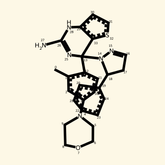 Cc1cc(N2CCOCC2)ccc1C1(N2N=CCC2c2ccccc2)N=C(N)Nc2ccsc21